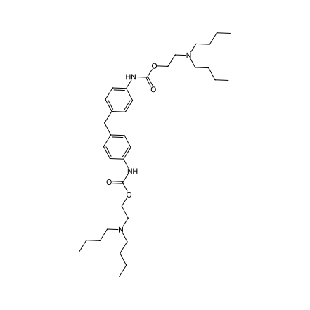 CCCCN(CCCC)CCOC(=O)Nc1ccc(Cc2ccc(NC(=O)OCCN(CCCC)CCCC)cc2)cc1